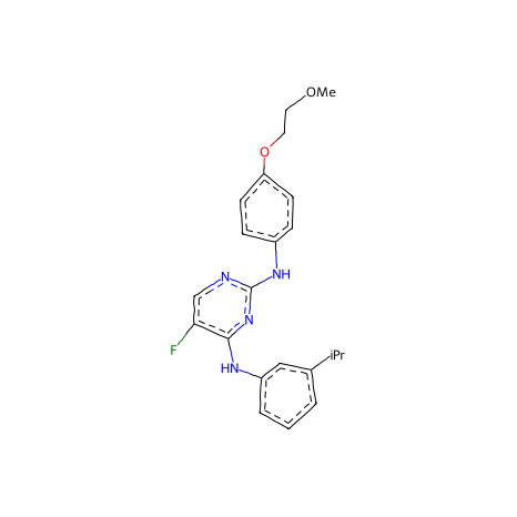 COCCOc1ccc(Nc2ncc(F)c(Nc3cccc(C(C)C)c3)n2)cc1